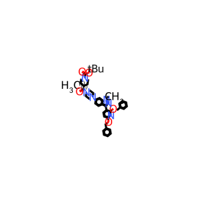 C[C@@H]1CN(C(=O)OC(C)(C)C)CC[C@H]1C(=O)N1CCN(c2ccc3c(-c4ccc(OCc5ccccc5)nc4OCc4ccccc4)nn(C)c3c2)CC1